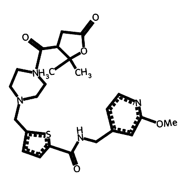 COc1cc(CNC(=O)c2ccc(CN3CCN(C(=O)C4CC(=O)OC4(C)C)CC3)s2)ccn1